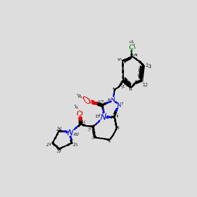 O=C(C1CCCc2nn(Cc3cccc(Cl)c3)c(=O)n21)N1CCCC1